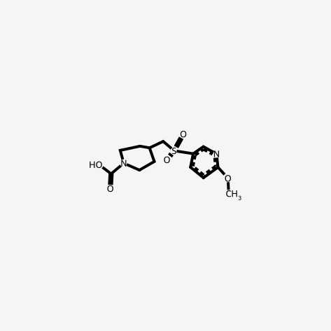 COc1ccc(S(=O)(=O)CC2CCN(C(=O)O)CC2)cn1